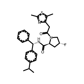 Cc1nc(CC(=O)N2C[C@H](F)C[C@H]2C(=O)N[C@@H](c2ccccc2)c2ccc(C(C)C)cc2)c(C)s1